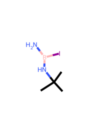 CC(C)(C)NB(N)I